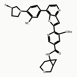 COc1cc(C(=O)NC23CCOCC2C3)cnc1-c1cc2nccc(-c3ccc(N4CC[C@@H](F)C4)c(C#N)c3)c2o1